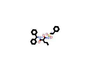 C=CCC(C(=O)NC(c1ccccc1)c1ccccc1)C(=O)NS(=O)(=O)/C=C/c1ccccc1